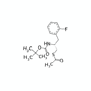 CC(=O)SC[C@@H](Cc1ccccc1F)NC(=O)OC(C)(C)C